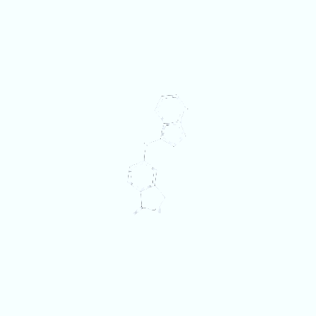 O=C1NCc2cc(Nc3ccn4ncccc34)ccc21